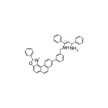 CN1c2c(ccc3ccc4cc(-c5cccc(CN/C(=C\C(N)c6ccccc6)c6ccccc6)c5)ccc4c23)OC1c1ccccc1